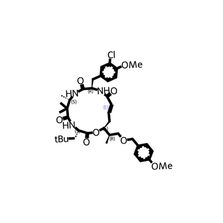 COc1ccc(COC[C@@H](C)[C@@H]2C/C=C/C(=O)N[C@H](Cc3ccc(OC)c(Cl)c3)C(=O)N[C@@H](C)C(C)(C)C(=O)N[C@@H](CC(C)(C)C)C(=O)O2)cc1